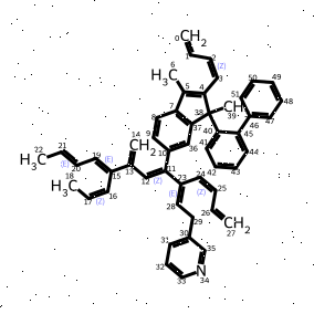 C=C/C=C\C1=C(C)c2ccc(C(=C\C(=C)C(/C=C\C)=C/C=C/C)/C(/C=C\C=C)=C/Cc3cccnc3)cc2C1(C)c1ccccc1-c1ccccc1